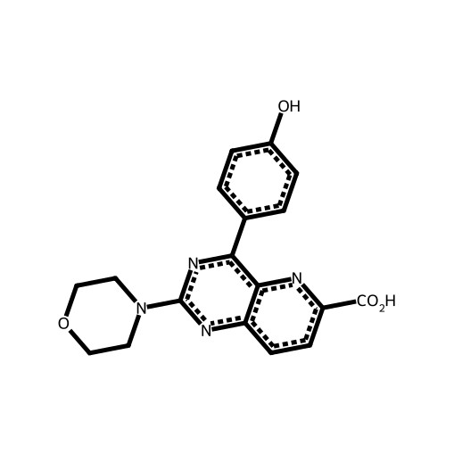 O=C(O)c1ccc2nc(N3CCOCC3)nc(-c3ccc(O)cc3)c2n1